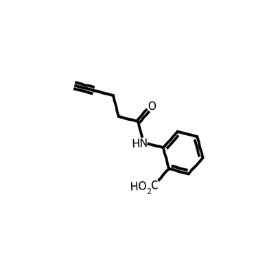 C#CCCC(=O)Nc1ccccc1C(=O)O